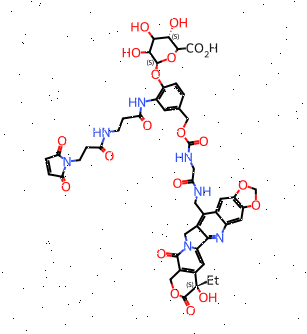 CC[C@@]1(O)C(=O)OCc2c1cc1n(c2=O)Cc2c-1nc1cc3c(cc1c2CNC(=O)CNC(=O)OCc1ccc(O[C@@H]2OC(C(=O)O)[C@@H](O)C(O)C2O)c(NC(=O)CCNC(=O)CCN2C(=O)C=CC2=O)c1)OCO3